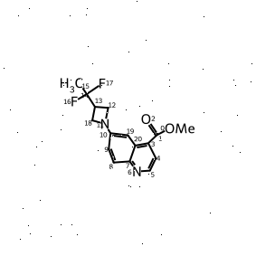 COC(=O)c1ccnc2ccc(N3CC(C(C)(F)F)C3)cc12